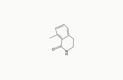 Cc1cccc2c1C(=O)NCC2